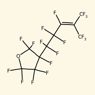 FC(=C(C(F)(F)F)C(F)(F)F)C(F)(F)C(F)(F)C1(F)C(F)(F)OC(F)(F)C1(F)F